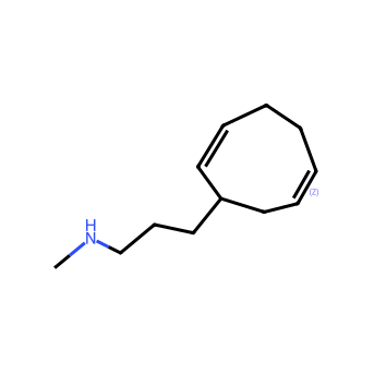 CNCCCC1C=CCC/C=C\C1